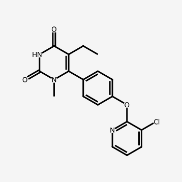 CCc1c(-c2ccc(Oc3ncccc3Cl)cc2)n(C)c(=O)[nH]c1=O